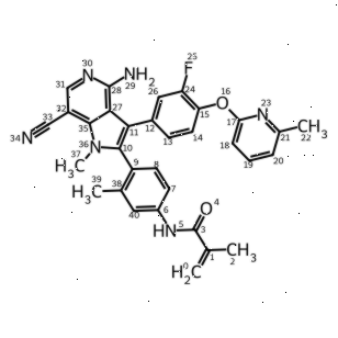 C=C(C)C(=O)Nc1ccc(-c2c(-c3ccc(Oc4cccc(C)n4)c(F)c3)c3c(N)ncc(C#N)c3n2C)c(C)c1